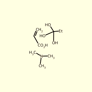 C=CC(=O)O.CCC(O)(O)O.CN(C)C